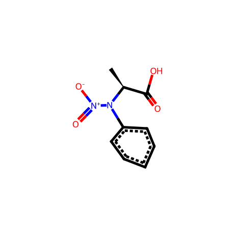 C[C@@H](C(=O)O)N(c1ccccc1)[N+](=O)[O-]